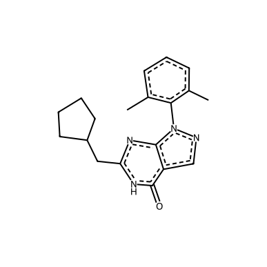 Cc1cccc(C)c1-n1ncc2c(=O)[nH]c(CC3CCCC3)nc21